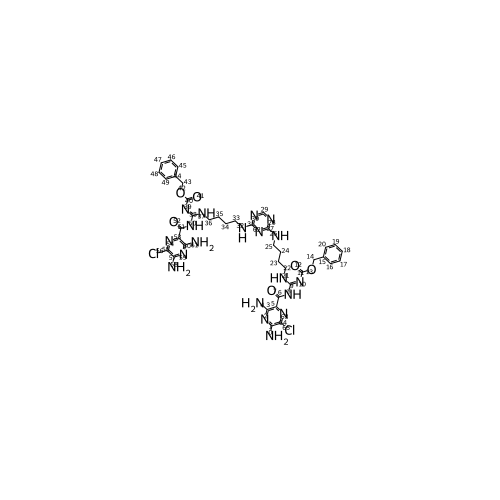 Nc1nc(N)c(C(=O)N/C(=N/C(=O)OCc2ccccc2)NCCCCNc2ncnc(NCCCCN/C(=N\C(=O)OCc3ccccc3)NC(=O)c3nc(Cl)c(N)nc3N)n2)nc1Cl